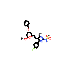 CC(C)OC1C[C@H](OCc2ccccc2)C[C@@H](/C=C/c2c(-c3ccc(F)cc3)nc(N(C)S(C)(=O)=O)nc2C(C)C)O1